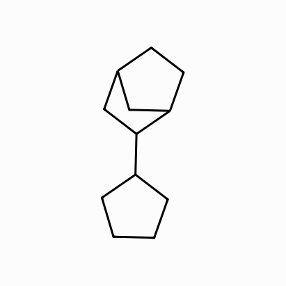 C1CCC(C2CC3CCC2C3)C1